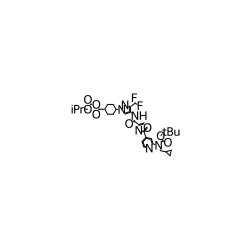 CC(C)OC(=O)OC(=O)C1CCC(n2cc(NC(=O)c3coc(-c4ccnc(N(CC5CC5)C(=O)OC(C)(C)C)c4)n3)c(C(F)F)n2)CC1